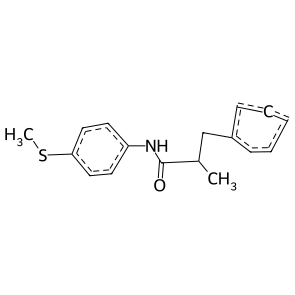 CSc1ccc(NC(=O)C(C)Cc2ccccc2)cc1